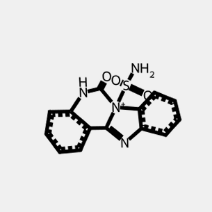 NS(=O)(=O)[N+]12C(=O)Nc3ccccc3C1=Nc1ccccc12